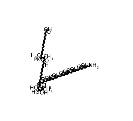 CC(C=CCCC=CC=CC=CC=CC(=O)O)C(O)C(C)C(O)C=CC=CC=CC=CC=CCC(OC1OC(C)C(O)C(O)C1O)C(C)C(=O)CC(O)CC(O)CC(O)C=CCC(O)CC(O)CC(O)CC(O)C=CCC(O)CC(O)CCCN